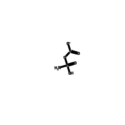 NP(=O)(O)O[N+](=O)[O-]